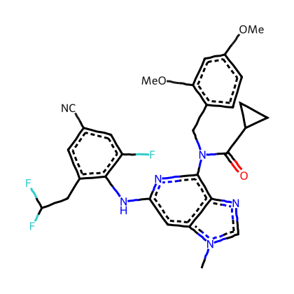 COc1ccc(CN(C(=O)C2CC2)c2nc(Nc3c(F)cc(C#N)cc3CC(F)F)cc3c2ncn3C)c(OC)c1